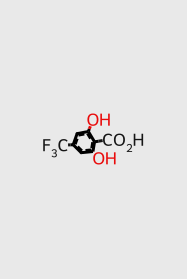 O=C(O)c1c(O)cc(C(F)(F)F)cc1O